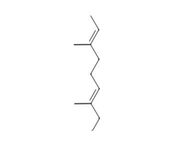 C/C=C(\C)CC/C=C(\C)CCl